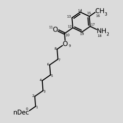 CCCCCCCCCCCCCCCCCCOC(=O)c1ccc(C)c(N)c1